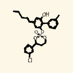 CCCCCc1cc(O)c(-c2cccc(C)c2)c(OP2(=O)OCCC(c3cccc(Cl)c3)O2)c1